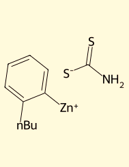 CCCCc1cccc[c]1[Zn+].NC(=S)[S-]